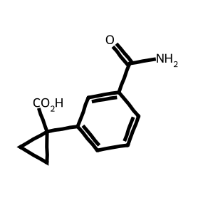 NC(=O)c1cccc(C2(C(=O)O)CC2)c1